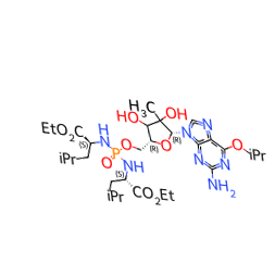 CCOC(=O)[C@H](CC(C)C)NP(=O)(N[C@@H](CC(C)C)C(=O)OCC)OC[C@H]1O[C@@H](n2cnc3c(OC(C)C)nc(N)nc32)C(C)(O)C1O